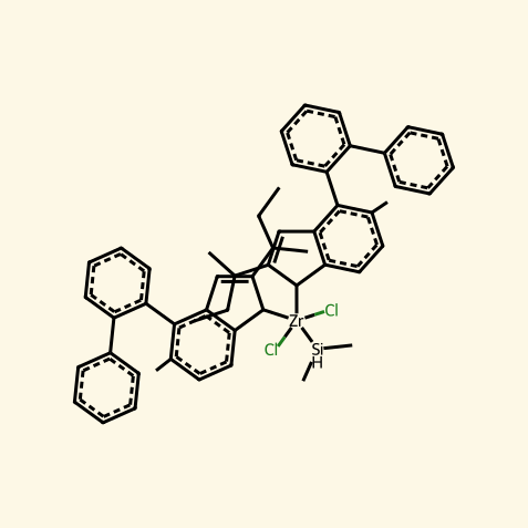 CCC(C)C1=Cc2c(ccc(C)c2-c2ccccc2-c2ccccc2)[CH]1[Zr]([Cl])([Cl])([CH]1C(C(C)CC)=Cc2c1ccc(C)c2-c1ccccc1-c1ccccc1)[SiH](C)C